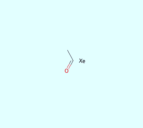 CC=O.[Xe]